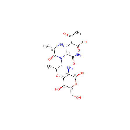 CC(=O)C(C[C@H](C(N)=O)N(CC(C)O[C@@H]1[C@@H](N)[C@@H](O)O[C@H](CO)[C@H]1O)C(=O)[C@H](C)N)C(=O)O